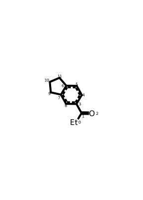 CCC(=O)c1ccc2c(c1)CCC2